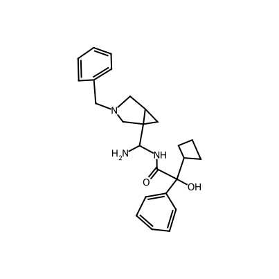 NC(NC(=O)C(O)(c1ccccc1)C1CCC1)C12CC1CN(Cc1ccccc1)C2